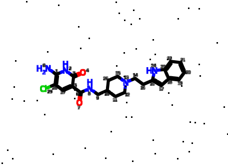 Nc1[nH]c(=O)c(C(=O)NCC2CCN(CCc3cc4ccccc4[nH]3)CC2)cc1Cl